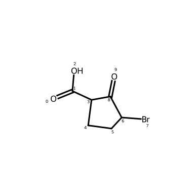 O=C(O)C1CCC(Br)C1=O